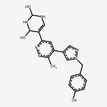 Cc1nnc(C2=CNC(O)NC2O)cc1-c1cnn(Cc2ccc(C#N)cc2)c1